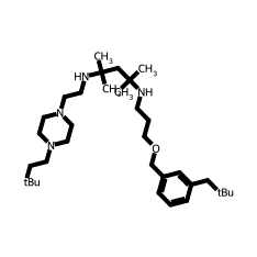 CC(C)(C)CCN1CCN(CCNC(C)(C)CC(C)(C)NCCCOCc2cccc(CC(C)(C)C)c2)CC1